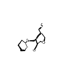 O=C1OCC(C=S)=C1OC1CCCCO1